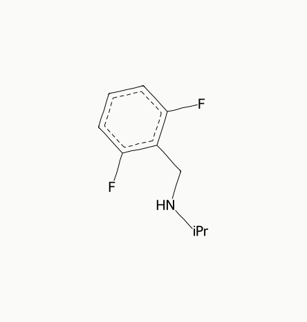 CC(C)NCc1c(F)cccc1F